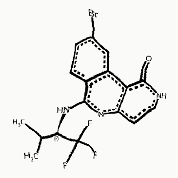 CC(C)[C@@H](Nc1nc2cc[nH]c(=O)c2c2cc(Br)ccc12)C(F)(F)F